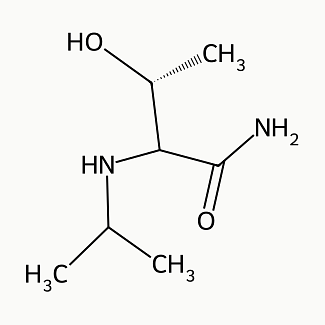 CC(C)NC(C(N)=O)[C@@H](C)O